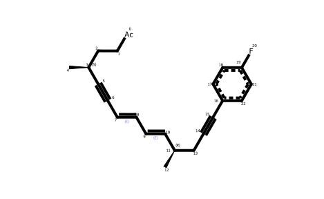 CC(=O)CC[C@H](C)C#C/C=C/C=C/[C@H](C)CC#Cc1ccc(F)cc1